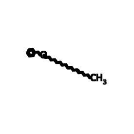 CCCCCC=CCC=CCCCCCCCCOCCc1ccccc1